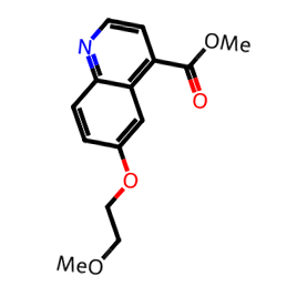 COCCOc1ccc2nccc(C(=O)OC)c2c1